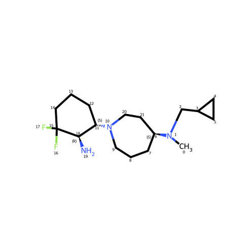 CN(CC1CC1)[C@H]1CCCN([C@H]2CCCC(F)(F)[C@@H]2N)CC1